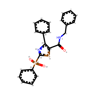 O=C(NCc1ccccc1)c1sc(S(=O)(=O)c2ccccc2)nc1-c1ccccc1